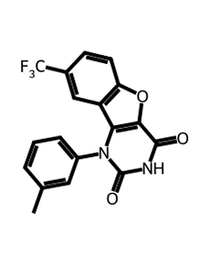 Cc1cccc(-n2c(=O)[nH]c(=O)c3oc4ccc(C(F)(F)F)cc4c32)c1